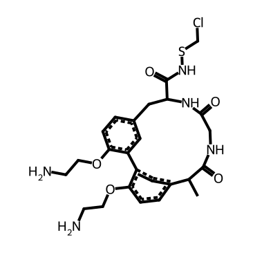 CC1C(=O)NCC(=O)NC(C(=O)NSCCl)Cc2ccc(OCCN)c(c2)-c2cc1ccc2OCCN